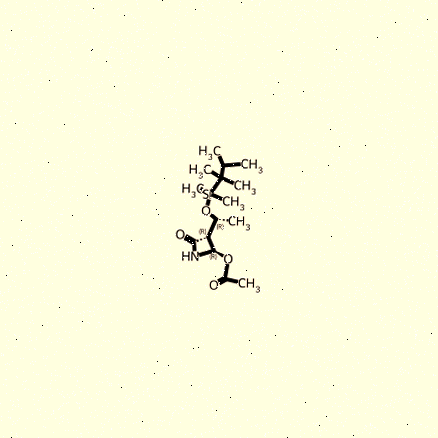 CC(=O)O[C@H]1NC(=O)[C@@H]1[C@@H](C)O[Si](C)(C)C(C)(C)C(C)C